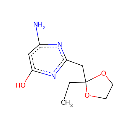 CCC1(Cc2nc(N)cc(O)n2)OCCO1